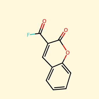 O=C(F)c1cc2ccccc2oc1=O